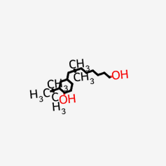 CC(C)(CCCCCCO)CC1CCC(O)C(C(C)(C)C)C1